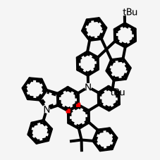 CC(C)(C)c1ccc2c(c1)C1(c3ccccc3-c3ccc(N(c4ccc5c(c4)c4ccccc4n5-c4ccccc4)c4ccccc4-c4cccc5c4-c4ccccc4C5(C)C)cc31)c1cc(C(C)(C)C)ccc1-2